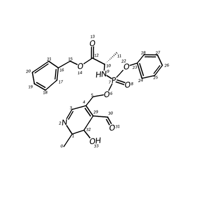 CC1N=CC(COP(=O)(N[C@@H](C)C(=O)OCc2ccccc2)Oc2ccccc2)=C(C=O)C1O